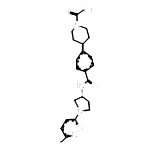 CC(C)C(=O)N1CCC(c2ccc(C(=O)N[C@H]3CCN(c4ccc(Cl)nn4)C3)cc2)CC1